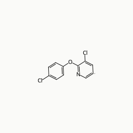 Clc1ccc(Oc2nc[c]cc2Cl)cc1